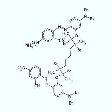 CCN(CC)c1ccc(N=Nc2ccc([N+](=O)[O-])cc2C#N)c(OC(C)(Br)C(C)(Br)CCCCC(C)(Br)C(C)(Br)Oc2cc(N(CC)CC)ccc2N=Nc2ccc([N+](=O)[O-])cc2C#N)c1.N